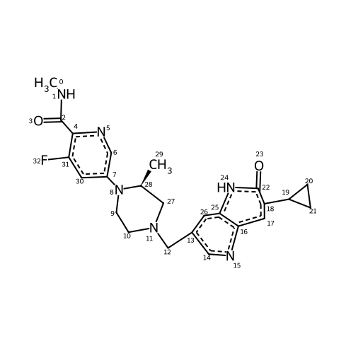 CNC(=O)c1ncc(N2CCN(Cc3cnc4cc(C5CC5)c(=O)[nH]c4c3)C[C@@H]2C)cc1F